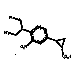 CC(C)CN(CC(C)C)c1ccc(C2CC2C(=O)O)cc1[N+](=O)[O-]